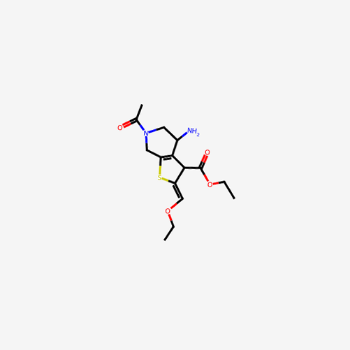 CCOC=C1SC2=C(C(N)CN(C(C)=O)C2)C1C(=O)OCC